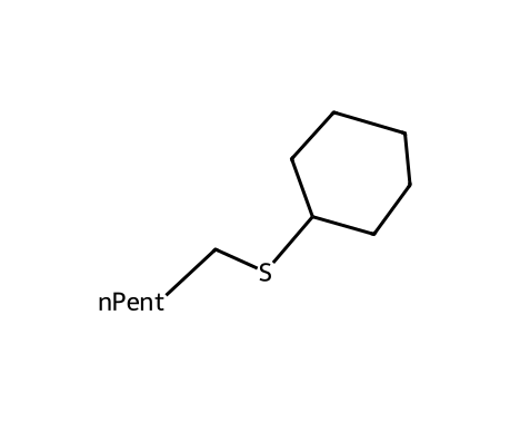 [CH2]CCCCCSC1CCCCC1